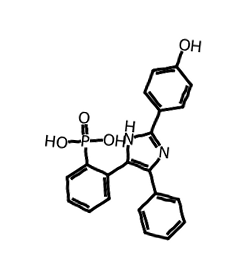 O=P(O)(O)c1ccccc1-c1[nH]c(-c2ccc(O)cc2)nc1-c1ccccc1